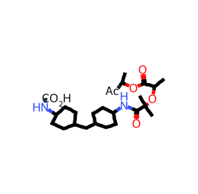 CC(=O)C(C)OC(=O)C(C)OC(C)(C)C(=O)NC1CCC(CC2CCC(NC(=O)O)CC2)CC1